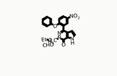 CCOC=O.Cn1nc(-c2cc([N+](=O)[O-])ccc2Oc2ccccc2)c2cc[nH]c2c1=O